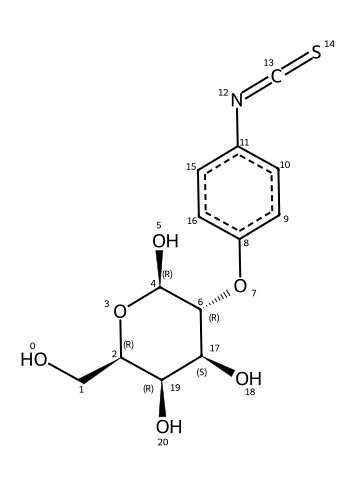 OC[C@H]1O[C@@H](O)[C@H](Oc2ccc(N=C=S)cc2)[C@@H](O)[C@H]1O